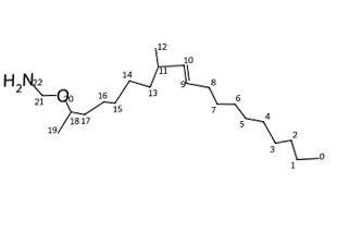 CCCCCCCCC/C=C/C(C)CCCCCC(C)OCN